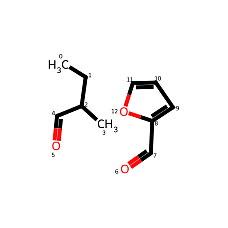 CCC(C)C=O.O=Cc1ccco1